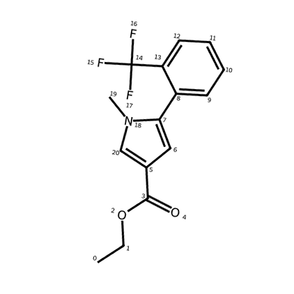 CCOC(=O)c1cc(-c2ccccc2C(F)(F)F)n(C)c1